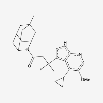 COc1cnc2[nH]cc(C(C)(F)CC(=O)N3C4CC5CC3CC(C)(C5)C4)c2c1C1CC1